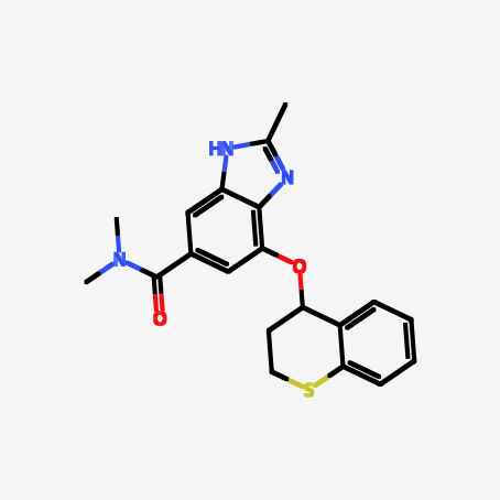 Cc1nc2c(OC3CCSc4ccccc43)cc(C(=O)N(C)C)cc2[nH]1